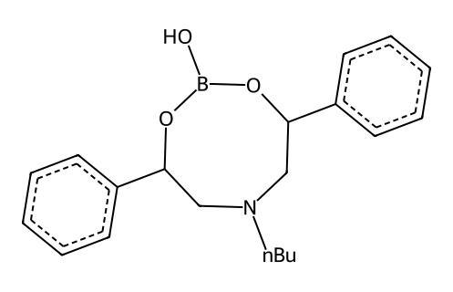 CCCCN1CC(c2ccccc2)OB(O)OC(c2ccccc2)C1